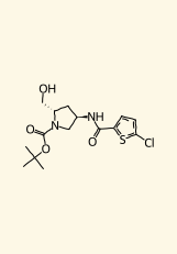 CC(C)(C)OC(=O)N1C[C@H](NC(=O)c2ccc(Cl)s2)C[C@H]1CO